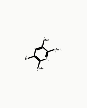 CCCCCc1nc(OC)c(Br)cc1OC